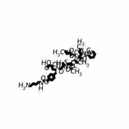 CCCC(=O)OCN(C(=O)[C@@H](NC(=O)[C@H]1CCCCN1C)[C@@H](C)CC)[C@H](C[C@@H](OC(C)=O)c1nc(C(=O)N[C@@H](Cc2ccc(OC(=O)NCCCCN)cc2)C[C@H](C)C(=O)O)cs1)C(C)C